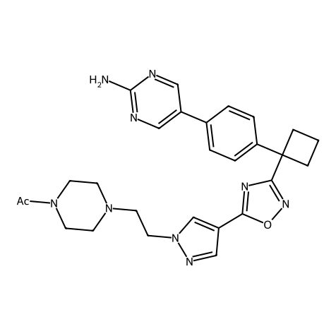 CC(=O)N1CCN(CCn2cc(-c3nc(C4(c5ccc(-c6cnc(N)nc6)cc5)CCC4)no3)cn2)CC1